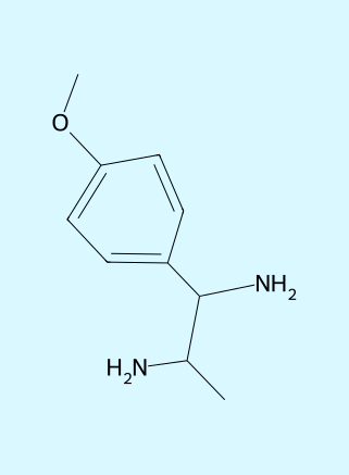 COc1ccc(C(N)C(C)N)cc1